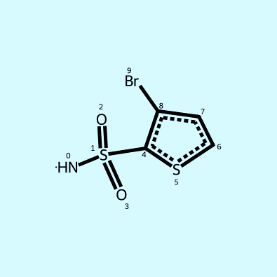 [NH]S(=O)(=O)c1sccc1Br